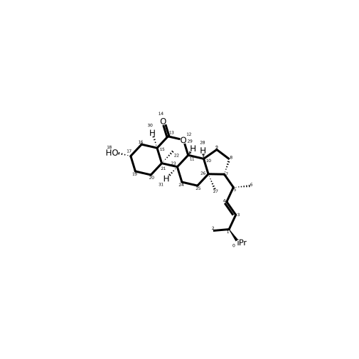 CC(C)[C@@H](C)/C=C/[C@@H](C)[C@H]1CC[C@@H]2[C@@H]3OC(=O)[C@@H]4C[C@@H](O)CC[C@]4(C)[C@@H]3CC[C@@]21C